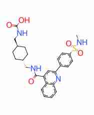 CNS(=O)(=O)c1ccc(-c2cc(C(=O)NC[C@H]3CC[C@H](CNC(=O)O)CC3)c3ccccc3n2)cc1